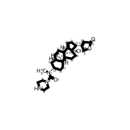 CN(C(=O)N1CCNCC1)[C@H]1CC[C@@]2(C)[C@H](CC[C@H]3C4=CC[C@H](C5=CC(=O)OC5)[C@@]4(C)CC[C@@H]32)C1